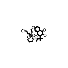 CC1OC2=C(C(=O)C(=O)c3ccccc32)C1(C)C.O=P1(N(CCCl)CCCl)NCCCO1